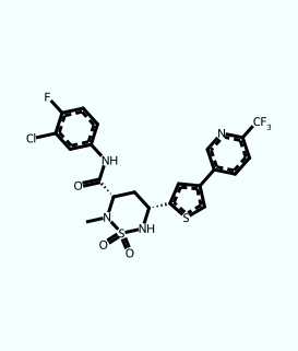 CN1[C@H](C(=O)Nc2ccc(F)c(Cl)c2)C[C@H](c2cc(-c3ccc(C(F)(F)F)nc3)cs2)NS1(=O)=O